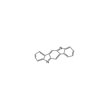 [c]1ccc2c(c1)N=c1cc3c(cc1-2)=Nc1ccccc1-3